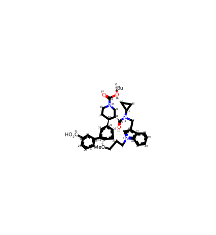 COCCCn1cc(CN(C(=O)[C@H]2CN(C(=O)OC(C)(C)C)CC[C@@H]2c2cccc(-c3cccc(C(=O)O)c3)c2)C2CC2)c2ccccc21